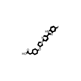 O=C(O)CC1CCC(O[C@H]2CCN(c3ccc(-c4nc5cc(F)ccc5[nH]4)cn3)C2)CC1